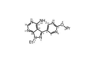 [CH2]Cn1nc(-c2cnc(OC(C)C)nc2)c2c(N)ncnc21